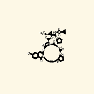 C=C[C@@H]1C[C@]1(NC(=O)[C@@H]1C[C@@H]2CN1C(=O)[C@H](C1CCCC1)NC(=O)O[C@@H]1CCC[C@H]1CC=CCCn1c(cc3cc(Cl)ccc3c1=O)O2)C(=O)NS(=O)(=O)C1CC1